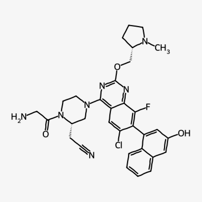 CN1CCC[C@H]1COc1nc(N2CCN(C(=O)CN)[C@@H](CC#N)C2)c2cc(Cl)c(-c3cc(O)cc4ccccc34)c(F)c2n1